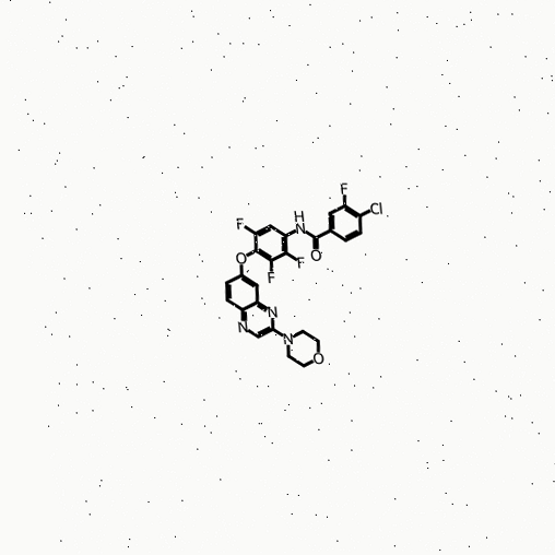 O=C(Nc1cc(F)c(Oc2ccc3ncc(N4CCOCC4)nc3c2)c(F)c1F)c1ccc(Cl)c(F)c1